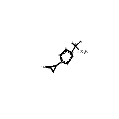 CC(C)(C(=O)O)c1ccc(C2CC2=O)cc1